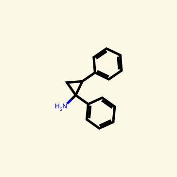 NC1(c2ccccc2)CC1c1ccccc1